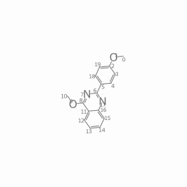 COc1ccc(-c2nc(OC)c3ccccc3n2)cc1